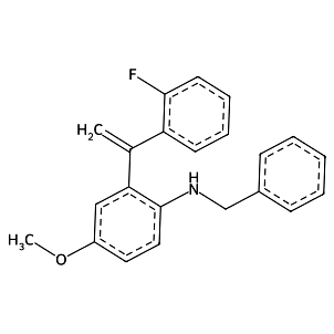 C=C(c1ccccc1F)c1cc(OC)ccc1NCc1ccccc1